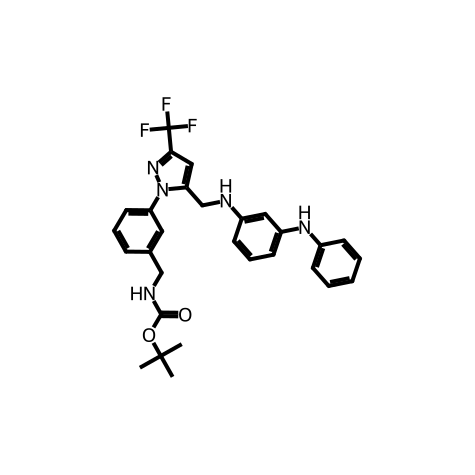 CC(C)(C)OC(=O)NCc1cccc(-n2nc(C(F)(F)F)cc2CNc2cccc(Nc3ccccc3)c2)c1